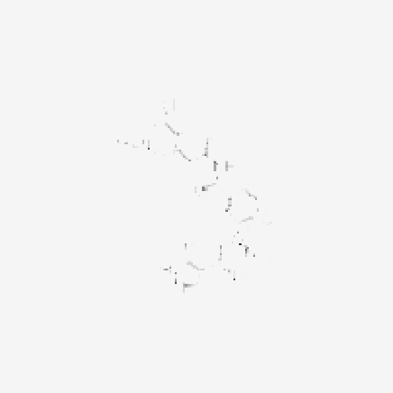 C=C(/C=C(\C=C(/C)C(F)(F)F)CNC)NC(=O)c1ccc(Cl)c(N(N)/C=C(\N)c2cnn(C)c2C)c1